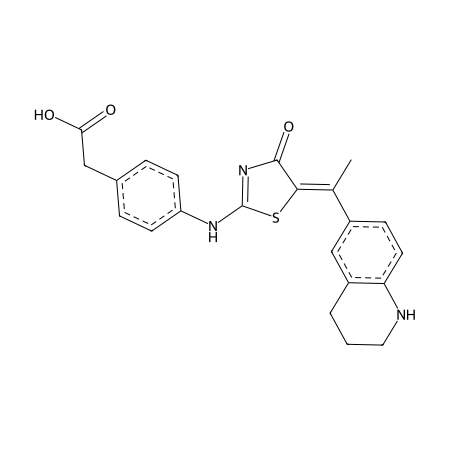 CC(=C1SC(Nc2ccc(CC(=O)O)cc2)=NC1=O)c1ccc2c(c1)CCCN2